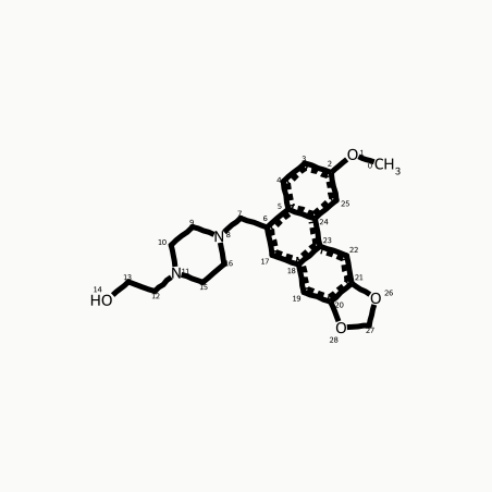 COc1ccc2c(CN3CCN(CCO)CC3)cc3cc4c(cc3c2c1)OCO4